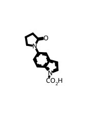 O=C1CCCN1c1ccc2c(ccn2C(=O)O)c1